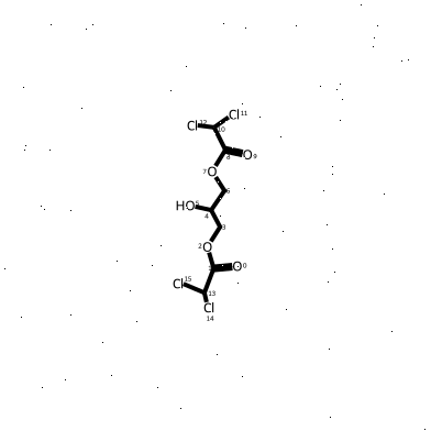 O=C(OCC(O)COC(=O)C(Cl)Cl)C(Cl)Cl